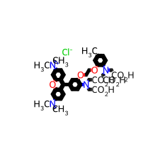 Cc1ccc(N(CC(=O)O)CC(=O)O)c(OCCOc2cc(-c3c4ccc(=[N+](C)C)cc-4oc4cc(N(C)C)ccc34)ccc2N(CC(=O)O)CC(=O)O)c1.[Cl-]